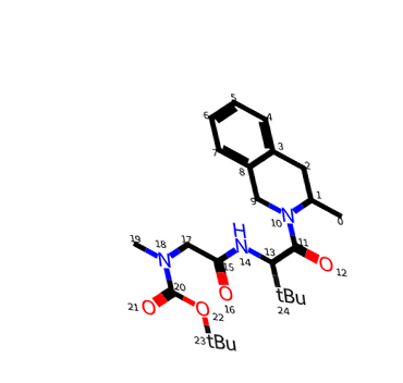 CC1Cc2ccccc2CN1C(=O)C(NC(=O)CN(C)C(=O)OC(C)(C)C)C(C)(C)C